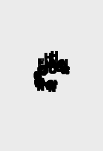 Cn1cc(-c2cc(Oc3ccc(NC(=O)Nc4cnc(C(C)(C)C)o4)c(F)c3)ccn2)cn1